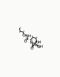 C[CH]CONC(=O)[C@@H]1CC[C@@H]2CN1C(=O)N2O